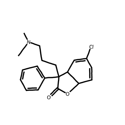 CN(C)CCCC1(c2ccccc2)C(=O)OC2C=CC(Cl)=CC21